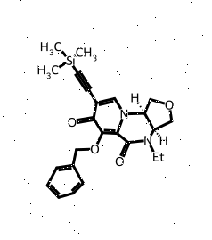 CCN1C(=O)c2c(OCc3ccccc3)c(=O)c(C#C[Si](C)(C)C)cn2[C@H]2COC[C@H]21